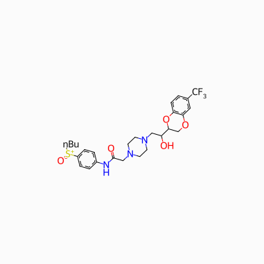 CCCC[S+]([O-])c1ccc(NC(=O)CN2CCN(CC(O)C3COc4cc(C(F)(F)F)ccc4O3)CC2)cc1